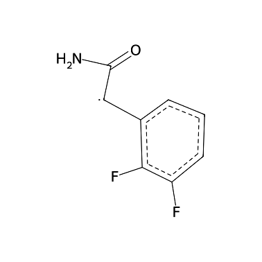 NC(=O)[CH]c1cccc(F)c1F